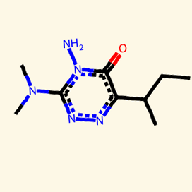 CCC(C)c1nnc(N(C)C)n(N)c1=O